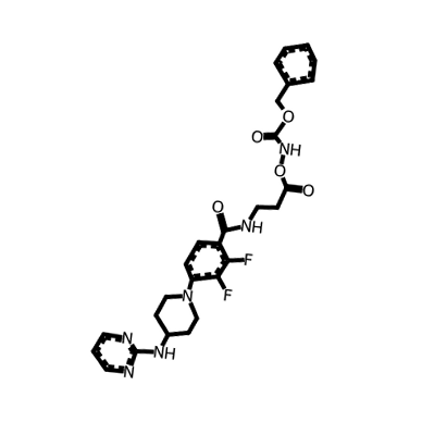 O=C(CCNC(=O)c1ccc(N2CCC(Nc3ncccn3)CC2)c(F)c1F)ONC(=O)OCc1ccccc1